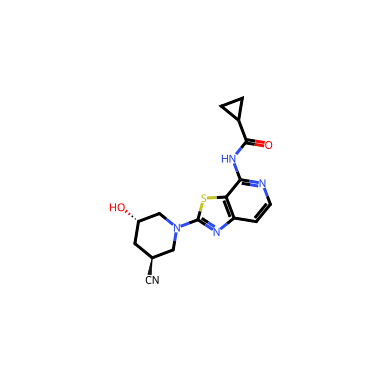 N#C[C@H]1C[C@H](O)CN(c2nc3ccnc(NC(=O)C4CC4)c3s2)C1